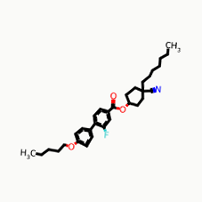 CCCCCCCC1(C#N)CCC(OC(=O)c2ccc(-c3ccc(OCCCCC)cc3)c(F)c2)CC1